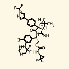 CC(C)(C)C[C@]1(c2ccc(-c3cnn(C(F)F)c3)cc2)NC(=N)N([C@H](COC(=O)NC2CC2(F)F)c2ccc(Cl)c(N3N=CN=CC3(F)F)c2)C1=O